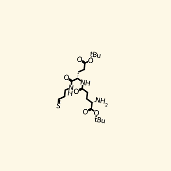 CC(C)(C)OC(=O)CC[C@H](NC(=O)CC[C@H](N)C(=O)OC(C)(C)C)C(=O)NCCC=S